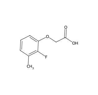 Cc1cccc(OCC(=O)O)c1F